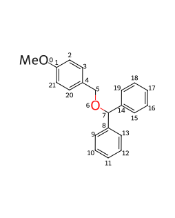 COc1ccc(COC(c2ccccc2)c2ccccc2)cc1